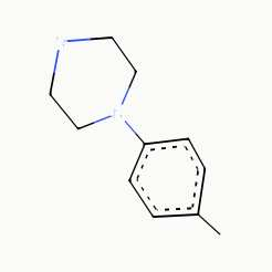 Cc1ccc(N2CC[N]CC2)cc1